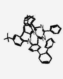 CC(C)(C)c1ccc2c(c1)c1cc(C(C)(C)C)ccc1n2-c1ccc(-c2ccccc2-c2ccccc2)cc1-c1nc(-c2ccccc2)nc(-c2ccccc2)n1